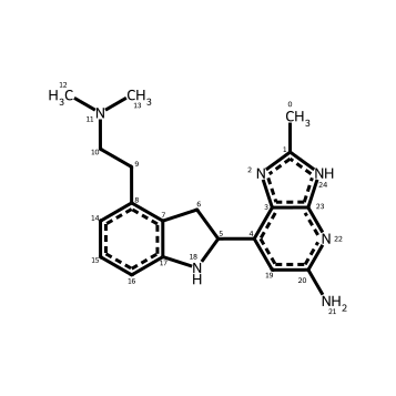 Cc1nc2c(C3Cc4c(CCN(C)C)cccc4N3)cc(N)nc2[nH]1